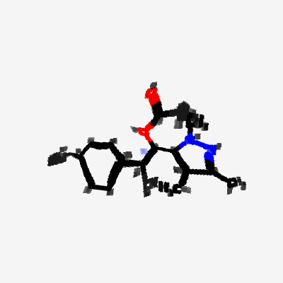 Cc1nn(C)c(/C(OC(=O)C(C)(C)C)=C(\C#N)c2ccc(C(C)(C)C)cc2)c1C